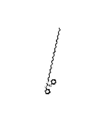 CCCCCCCCCCCCCCCCCCCCCCCCCCOP(Oc1ccccc1)Oc1ccccc1